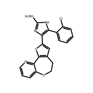 CC(=O)Nc1nc(-c2cc3c(s2)-c2ncccc2OCC3)c(-c2ccccc2Cl)[nH]1